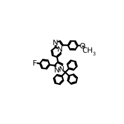 COc1ccc(-c2cnc3ccc(-c4cn(C(c5ccccc5)(c5ccccc5)c5ccccc5)nc4-c4ccc(F)cc4)cn23)cc1